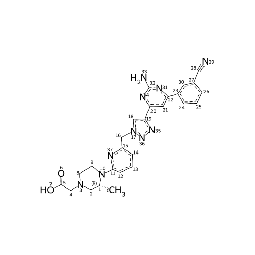 C[C@@H]1CN(CC(=O)O)CCN1c1cccc(Cn2cc(-c3cc(-c4cccc(C#N)c4)nc(N)n3)nn2)n1